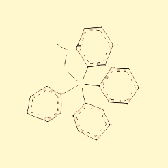 [O-][I+2]([O-])OP(c1ccccc1)(c1ccccc1)(c1ccccc1)c1ccccc1